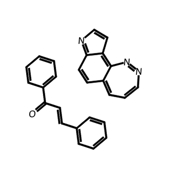 O=C(C=Cc1ccccc1)c1ccccc1.c1cnnc2c(c1)ccc1nccc12